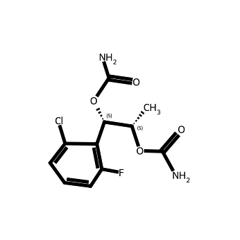 C[C@H](OC(N)=O)[C@@H](OC(N)=O)c1c(F)cccc1Cl